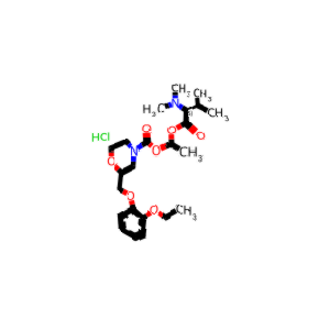 CCOc1ccccc1OCC1CN(C(=O)OC(C)OC(=O)[C@H](C(C)C)N(C)C)CCO1.Cl